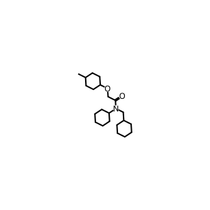 CC1CCC(OCC(=O)N(CC2CCCCC2)C2CCCCC2)CC1